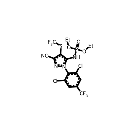 CCOP(=O)(Nc1c(SC(F)(F)F)c(C#N)nn1-c1c(Cl)cc(C(F)(F)F)cc1Cl)OCC